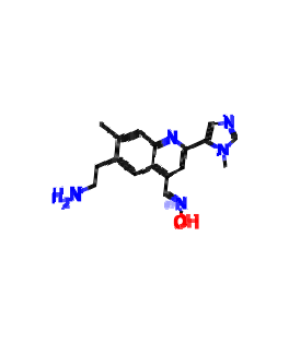 Cc1cc2nc(-c3cncn3C)cc(/C=N/O)c2cc1CCN